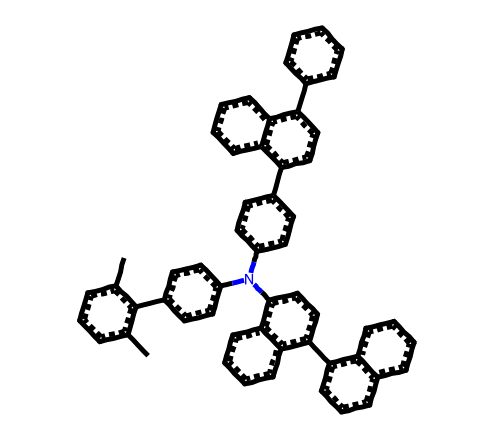 Cc1cccc(C)c1-c1ccc(N(c2ccc(-c3ccc(-c4ccccc4)c4ccccc34)cc2)c2ccc(-c3cccc4ccccc34)c3ccccc23)cc1